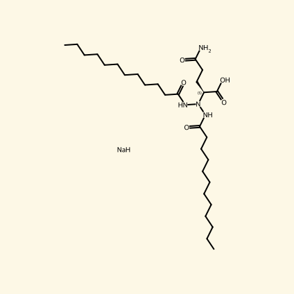 CCCCCCCCCCCC(=O)NN(NC(=O)CCCCCCCCCCC)[C@@H](CCC(N)=O)C(=O)O.[NaH]